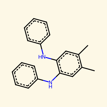 Cc1cc(Nc2ccccc2)c(Nc2ccccc2)cc1C